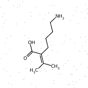 CC(C)=C(CCCCN)C(=O)O